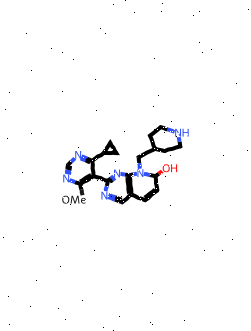 COc1ncnc(C2CC2)c1-c1ncc2c(n1)N(CC1CCNCC1)C(O)C=C2